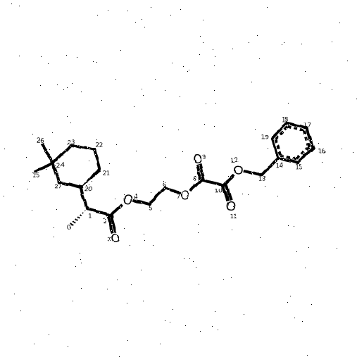 C[C@@H](C(=O)OCCOC(=O)C(=O)OCc1ccccc1)[C@@H]1CCCC(C)(C)C1